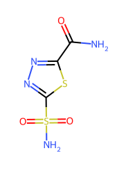 NC(=O)c1nnc(S(N)(=O)=O)s1